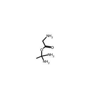 CC(N)(N)OC(=O)CN